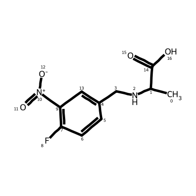 CC(NCc1ccc(F)c([N+](=O)[O-])c1)C(=O)O